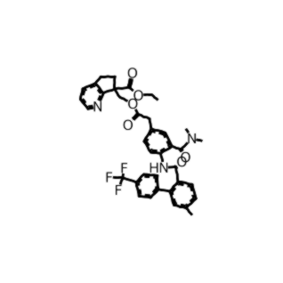 CCOC(=O)C1(COC(=O)Cc2ccc(NC(=O)c3ccc(C)cc3-c3ccc(C(F)(F)F)cc3)c(C(=O)N(C)C)c2)CCc2cccnc21